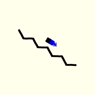 C#N.CCCCCCCCC